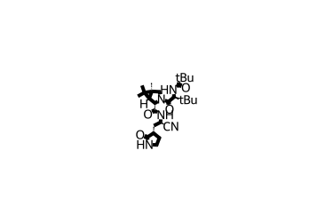 CC(C)(C)C(=O)N[C@H](C(=O)N1C[C@@]2(C)[C@@H]([C@H]1C(=O)N[C@H](C#N)C[C@@H]1CCNC1=O)C2(C)C)C(C)(C)C